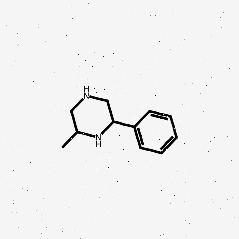 CC1CNCC(c2ccccc2)N1